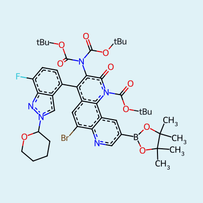 CC(C)(C)OC(=O)N(C(=O)OC(C)(C)C)c1c(-c2ccc(F)c3nn(C4CCCCO4)cc23)c2cc(Br)c3ncc(B4OC(C)(C)C(C)(C)O4)cc3c2n(C(=O)OC(C)(C)C)c1=O